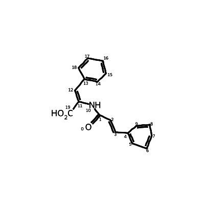 O=C(C=Cc1ccccc1)N/C(=C\c1ccccc1)C(=O)O